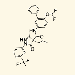 CCCC(C(C)=N)(C(=O)Nc1cccc(C(C)(F)F)c1)C(=O)Nc1ccc(OC(F)F)c(-c2ccccc2)c1